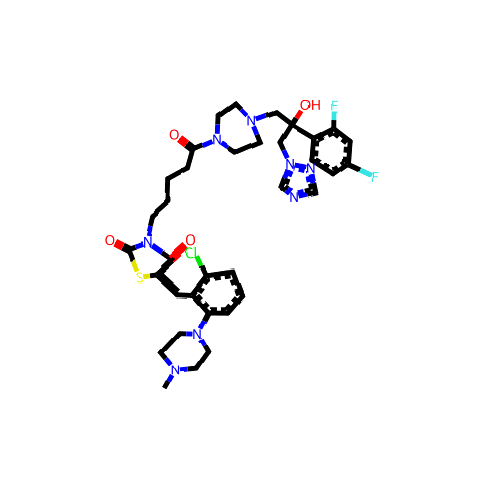 CN1CCN(c2cccc(Cl)c2C=C2SC(=O)N(CCCCC(=O)N3CCN(CC(O)(Cn4cncn4)c4ccc(F)cc4F)CC3)C2=O)CC1